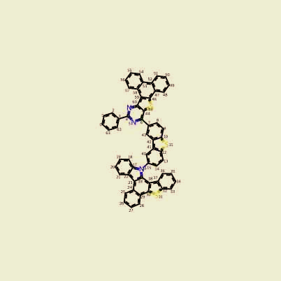 c1ccc(-c2nc(-c3ccc4sc5ccc(-n6c7ccccc7c7c8ccccc8c8sc9ccccc9c8c76)cc5c4c3)c3sc4c5ccccc5c5ccccc5c4c3n2)cc1